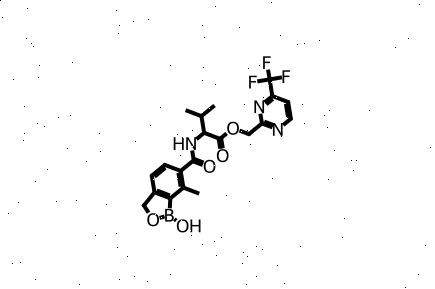 Cc1c(C(=O)NC(C(=O)OCc2nccc(C(F)(F)F)n2)C(C)C)ccc2c1B(O)OC2